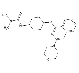 CN(C)C(=O)N[C@H]1CC[C@@H](Oc2nc(N3CCOCC3)cc3ncccc23)CC1